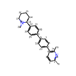 Cc1ccc(-c2ccc(-c3ccc(C4CCCCN4C)cc3)cc2)c(C)n1